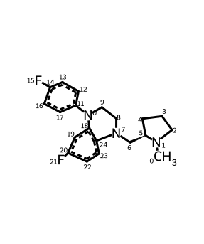 CN1CCC[C@@H]1CN1CCN(c2ccc(F)cc2)c2cc(F)ccc21